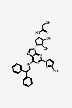 Nc1ccn(-c2nc(NCC(c3ccccc3)c3ccccc3)c3ncn([C@@H]4C[C@H](NC(=O)CO)[C@@H](O)[C@H]4O)c3n2)n1